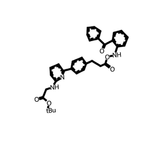 CC(C)(C)OC(=O)CNc1cccc(-c2ccc(CCC(=O)ONc3ccccc3C(=O)c3ccccc3)cc2)n1